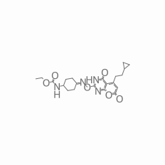 CCOC(=O)NC1CCC(=NOc2nc3oc(=O)cc(CCC4CC4)c3c(=O)[nH]2)CC1